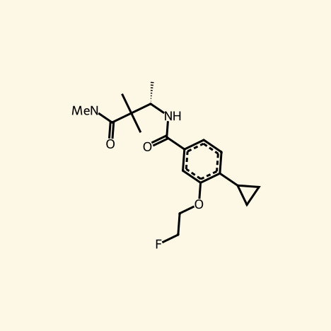 CNC(=O)C(C)(C)[C@H](C)NC(=O)c1ccc(C2CC2)c(OCCF)c1